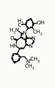 Cc1ccc(O)c(C)c1-n1c(N)c2c3c(ncnc31)C=C(c1ccccc1CN(C)C)NC2=O